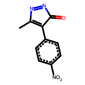 CC1=C(c2ccc([N+](=O)[O-])cc2)C(=O)N=N1